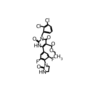 CCOC(=O)c1c(-c2cc(F)c(N3CCNC3=O)c(F)c2)[nH]c(=O)n(Cc2cccc(Cl)c2Cl)c1=O